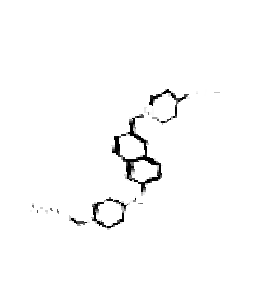 COC[C@H]1CC[C@@H](Oc2ccc3cc(CN4CCC(C(=O)O)CC4)ccc3c2)CC1